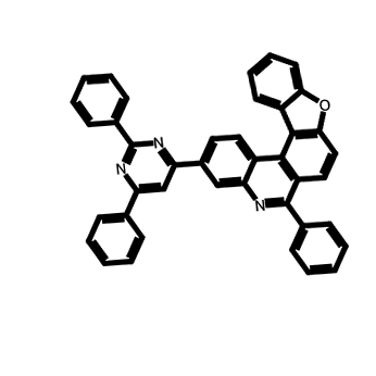 c1ccc(-c2cc(-c3ccc4c(c3)nc(-c3ccccc3)c3ccc5oc6ccccc6c5c34)nc(-c3ccccc3)n2)cc1